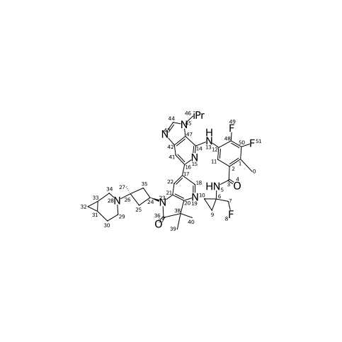 Cc1c(C(=O)NC2(CF)CC2)cc(Nc2nc(-c3cnc4c(c3)N([C@H]3C[C@@](C)(N5CCC6CC6C5)C3)C(=O)C4(C)C)cc3ncn(C(C)C)c23)c(F)c1F